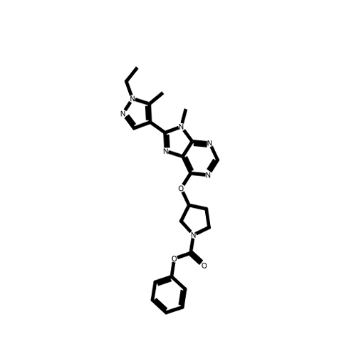 CCn1ncc(-c2nc3c(OC4CCN(C(=O)Oc5ccccc5)C4)ncnc3n2C)c1C